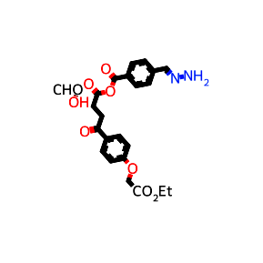 CCOC(=O)COc1ccc(C(=O)CCC(=O)OC(=O)c2ccc(C=NN)cc2)cc1.O=CO